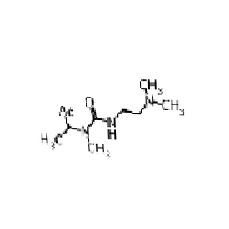 CC(=O)C(C)N(C)C(=O)NCCN(C)C